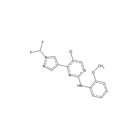 COc1c[c]ccc1Nc1ncc(Cl)c(-c2cnn(C(F)F)c2)n1